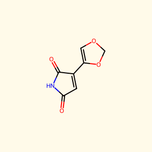 O=C1C=C(C2=COCO2)C(=O)N1